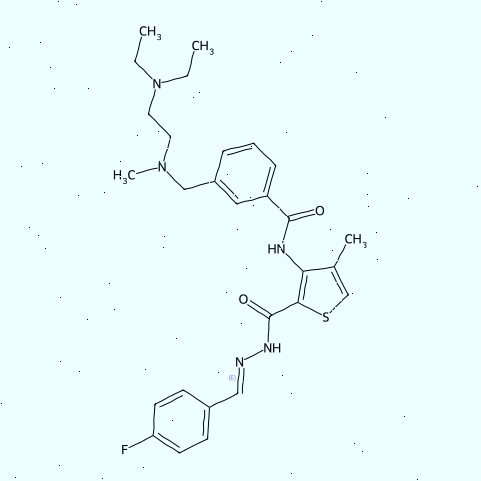 CCN(CC)CCN(C)Cc1cccc(C(=O)Nc2c(C)csc2C(=O)N/N=C/c2ccc(F)cc2)c1